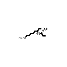 C=CC(=O)N[C](CCCCCCCCCCCCCC)CS(=O)(=O)O